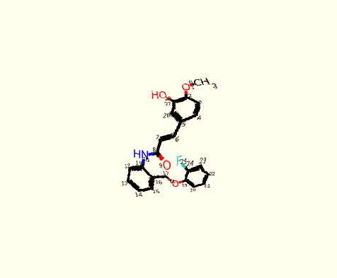 COc1ccc(C=CC(=O)Nc2ccccc2COc2ccccc2F)cc1O